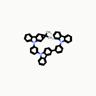 CC1(C)c2cc3c4ccccc4n(-c4cccc(-n5c6ccccc6c6cc(-c7cccc(-n8c9ccccc9c9ccccc98)c7)ccc65)c4)c3cc21